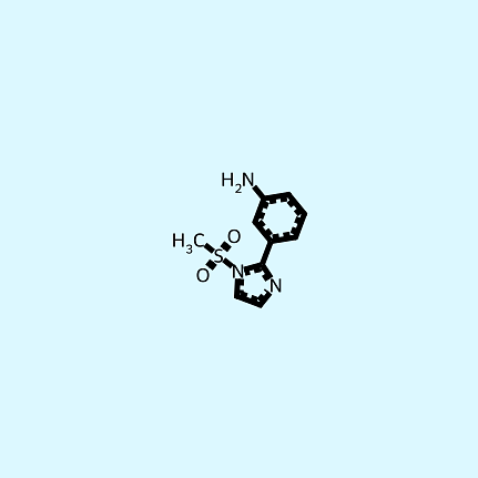 CS(=O)(=O)n1ccnc1-c1cccc(N)c1